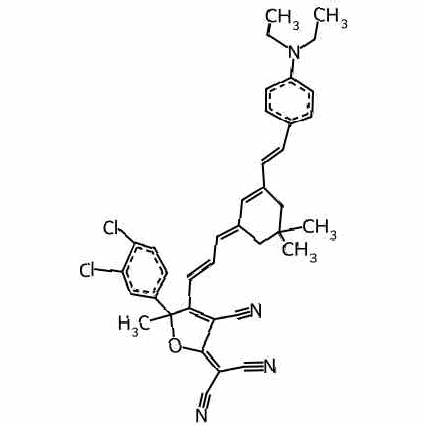 CCN(CC)c1ccc(/C=C/C2=CC(=C/C=C/C3=C(C#N)C(=C(C#N)C#N)OC3(C)c3ccc(Cl)c(Cl)c3)/CC(C)(C)C2)cc1